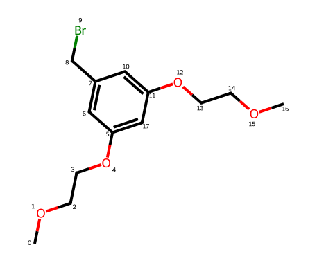 COCCOc1cc(CBr)cc(OCCOC)c1